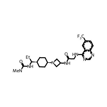 CCC(NC(=O)NC)[C@H]1CC[C@@H](N2CC(NC(=O)CNc3ncnc4ccc(C(F)(F)F)cc34)C2)CC1